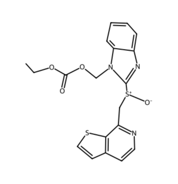 CCOC(=O)OCn1c([S+]([O-])Cc2nccc3ccsc23)nc2ccccc21